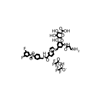 NCCC(=O)Nc1cc(C[n+]2ccn3cc(C(=O)NCc4ccc(S(=O)(=O)c5cc(F)cc(F)c5)cc4)ccc32)ccc1O[C@@H]1O[C@H](C(=O)O)[C@@H](O)[C@H](O)[C@H]1O.O=C(O)C(F)(F)F.O=C([O-])C(F)(F)F